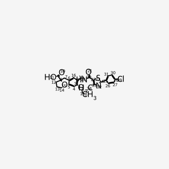 CCOc1ccc(CC2(C(=O)O)CCCO2)cc1CNC(=O)c1sc(-c2ccc(Cl)cc2)nc1C